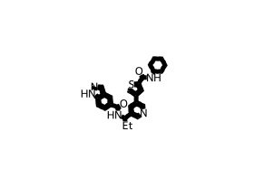 CCC(NC(=O)c1ccc2[nH]ncc2c1)c1cncc(-c2csc(C(=O)NC3CCCCC3)c2)c1